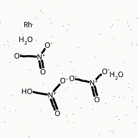 O.O.O=[N+]([O-])O.O=[N+]([O-])[O-].O=[N+]([O-])[O-].[Rh]